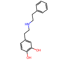 Oc1ccc(CCNCCc2ccccc2)cc1O